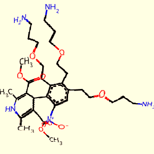 COC(=O)C1=C(C)NC(C)=C(C(=O)OC)C1c1c([N+](=O)[O-])cc(CCOCCCN)c(CCOCCCN)c1CCOCCCN